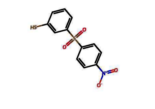 O=[N+]([O-])c1ccc(S(=O)(=O)c2cccc(S)c2)cc1